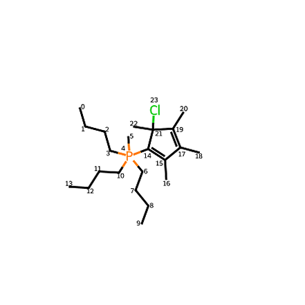 CCCCP(C)(CCCC)(CCCC)C1=C(C)C(C)=C(C)C1(C)Cl